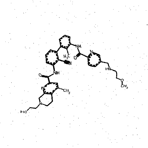 COCCNCc1ccc(C(=O)Nc2cccc(-c3cccc(NC(=O)c4cc(C)c5c(n4)CN(CCO)CC5)c3C#N)c2C)nc1